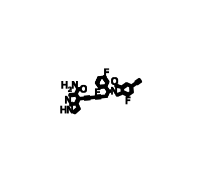 C#Cc1cc(F)c2c(c1)C(=O)N(C(CC#CC#Cc1c(C(N)=O)cnc3[nH]ccc13)c1cc(F)ccc1F)C2